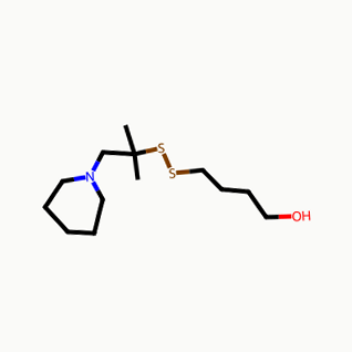 CC(C)(CN1CCCCC1)SSCCCCO